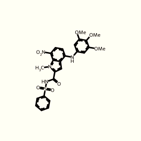 COc1cc(Nc2ccc([N+](=O)[O-])c3c2cc(C(=O)NS(=O)(=O)c2ccccc2)n3C)cc(OC)c1OC